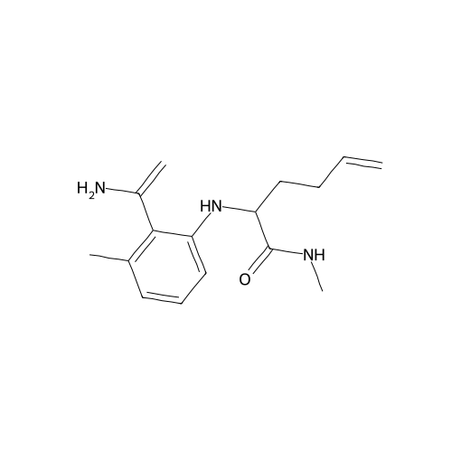 C=CCCC(Nc1cccc(C)c1C(=C)N)C(=O)NC